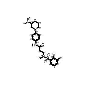 Cc1cccc(S(=O)(=O)N(C)CCC(=O)Nc2ccc(N3CCCC(N(C)C)C3)cc2)c1Cl